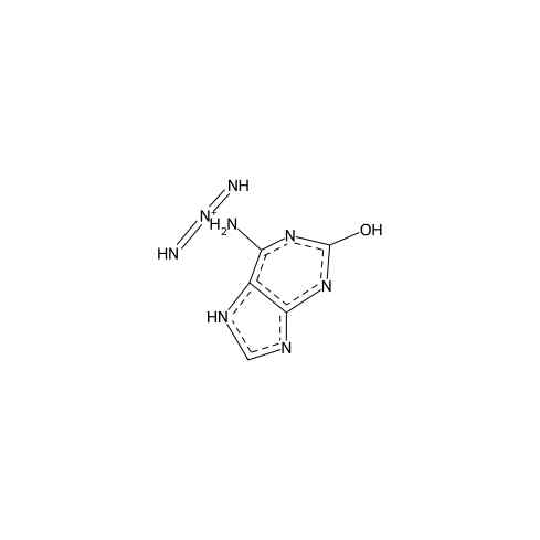 N=[N+]=N.Nc1nc(O)nc2nc[nH]c12